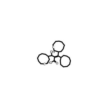 O=C(O)C(=C(C1CCCCCCCCC1)C1CCCCCCCCC1)C(O)C1CCCCCCCCC1